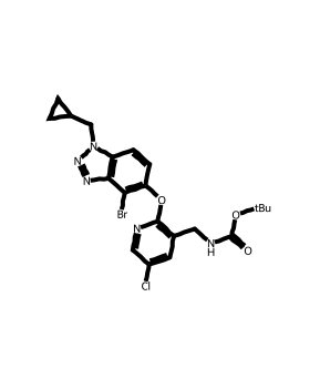 CC(C)(C)OC(=O)NCc1cc(Cl)cnc1Oc1ccc2c(nnn2CC2CC2)c1Br